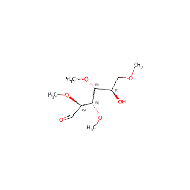 COC[C@@H](O)[C@@H](OC)[C@H](OC)[C@@H](C=O)OC